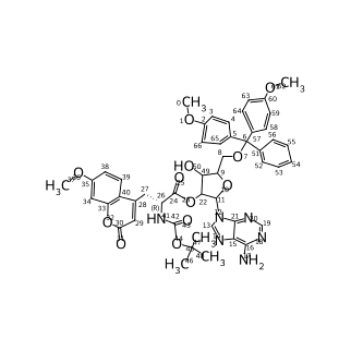 COc1ccc(C(OCC2OC(n3cnc4c(N)ncnc43)C(OC(=O)[C@@H](Cc3cc(=O)oc4cc(OC)ccc34)NC(=O)OC(C)(C)C)C2O)(c2ccccc2)c2ccc(OC)cc2)cc1